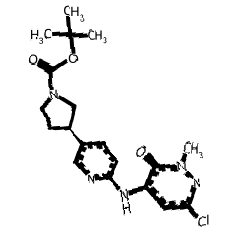 Cn1nc(Cl)cc(Nc2ccc([C@H]3CCN(C(=O)OC(C)(C)C)C3)cn2)c1=O